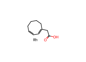 O=C(O)CC1=CC=CCCCC1.[Rh]